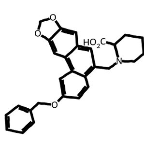 O=C(O)C1CCCCN1Cc1cc2cc3c(cc2c2cc(OCc4ccccc4)ccc12)OCO3